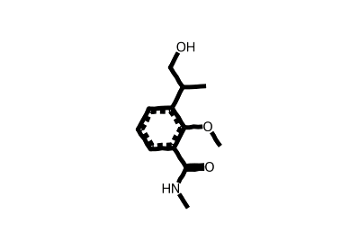 CNC(=O)c1cccc(C(C)CO)c1OC